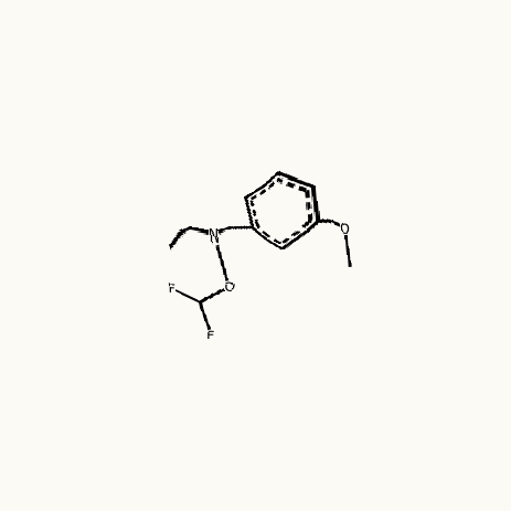 CCN(OC(F)F)c1cccc(OC)c1